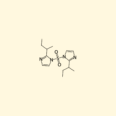 CCC(C)c1nccn1S(=O)(=O)n1ccnc1C(C)CC